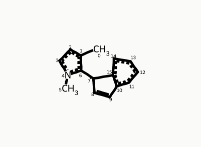 Cc1ccn(C)c1[C]1C=Cc2ccccc21